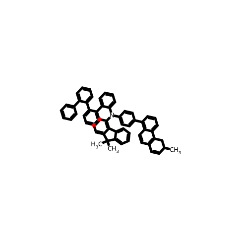 CC1C=Cc2ccc3c(-c4ccc(N(c5ccccc5-c5ccccc5-c5ccccc5-c5ccccc5)c5cccc6c5-c5ccccc5C6(C)C)cc4)cccc3c2C1